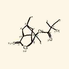 CCC(C)(C)C(=O)OC1(C)C2OC(=O)C3CC1(C)CC32